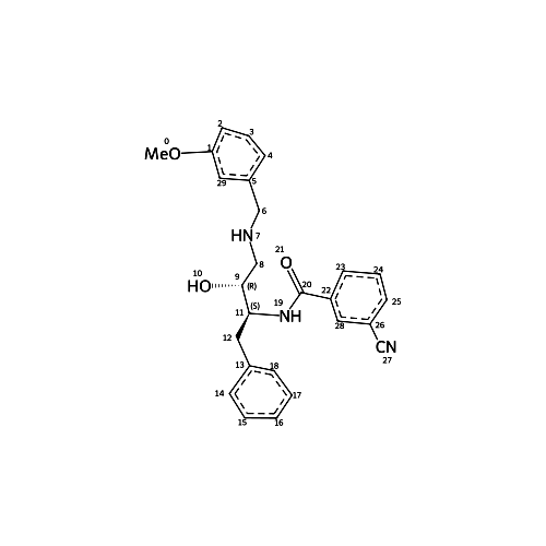 COc1cccc(CNC[C@@H](O)[C@H](Cc2ccccc2)NC(=O)c2cccc(C#N)c2)c1